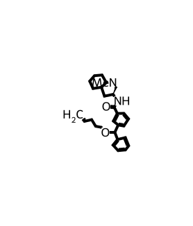 C=CCCCOC(c1ccccc1)c1cccc(C(=O)N[C@H](CNC)CC2CCCCC2)c1